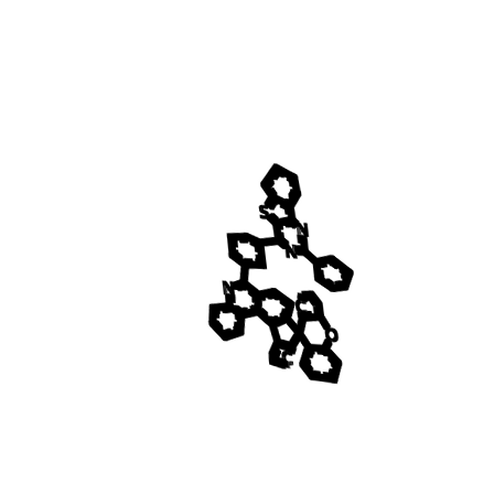 c1ccc(-c2nc(-c3cccc(-c4nc5ccccc5c5c6c(ccc45)C4(c5ccccc5Oc5ccccc54)c4ccccc4-6)c3)c3sc4ccccc4c3n2)cc1